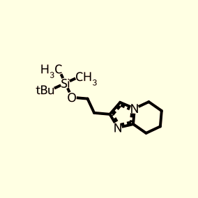 CC(C)(C)[Si](C)(C)OCCc1cn2c(n1)CCCC2